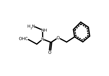 NNN(CC=O)C(=O)OCc1ccccc1